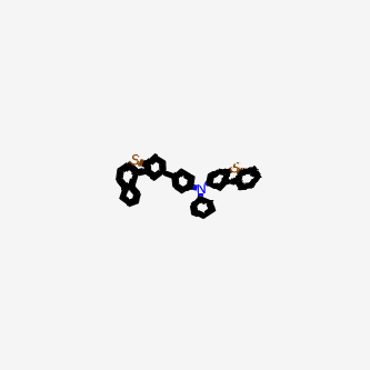 c1ccc(N(c2ccc(-c3ccc4sc5ccc6ccccc6c5c4c3)cc2)c2ccc3sc4ccccc4c3c2)cc1